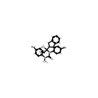 CN(C(=O)N(c1ccc(Br)cc1)C(O)(C=O)C1Cc2ccccc2C1)c1ccc(Br)cc1